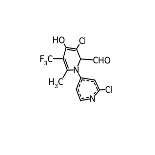 CC1=C(C(F)(F)F)C(O)=C(Cl)C(C=O)N1c1ccnc(Cl)c1